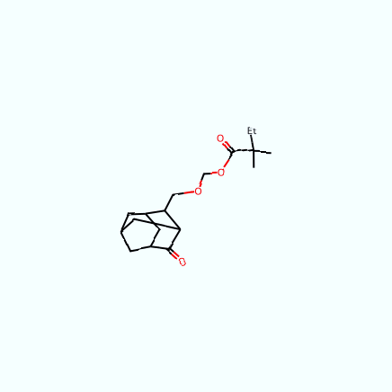 CCC(C)(C)C(=O)OCOCC1C2CC3CC(C2)C(=O)C1C3